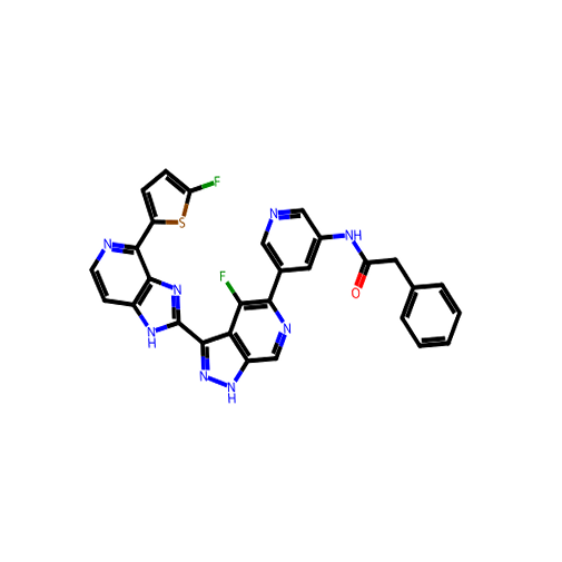 O=C(Cc1ccccc1)Nc1cncc(-c2ncc3[nH]nc(-c4nc5c(-c6ccc(F)s6)nccc5[nH]4)c3c2F)c1